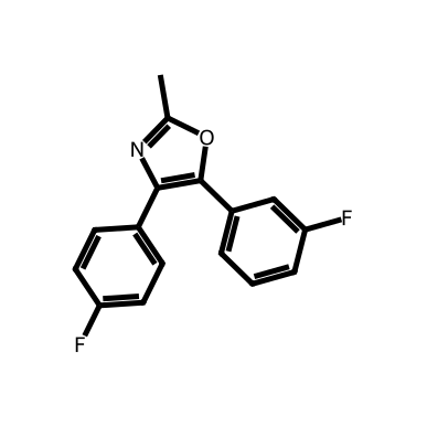 Cc1nc(-c2ccc(F)cc2)c(-c2cccc(F)c2)o1